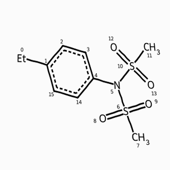 [CH2]Cc1ccc(N(S(C)(=O)=O)S(C)(=O)=O)cc1